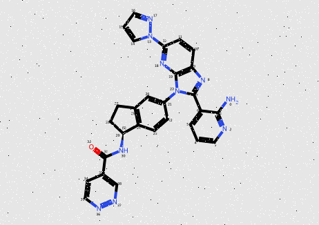 Nc1ncccc1-c1nc2ccc(-n3cccn3)nc2n1-c1ccc2c(c1)CC[C@@H]2NC(=O)c1ccnnc1